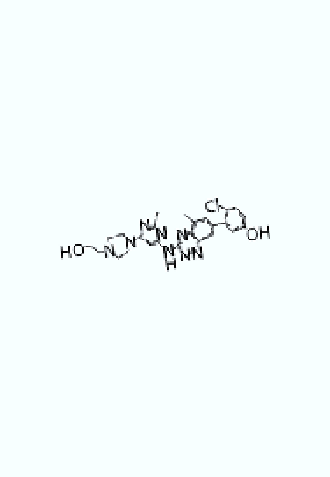 Cc1nc(Nc2nnc3cc(-c4cc(O)ccc4Cl)cc(C)c3n2)cc(N2CCN(CCO)CC2)n1